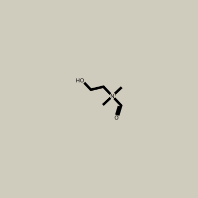 C[N+](C)(C=O)CCO